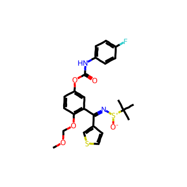 COCOc1ccc(OC(=O)Nc2ccc(F)cc2)cc1C(=N[S+]([O-])C(C)(C)C)c1ccsc1